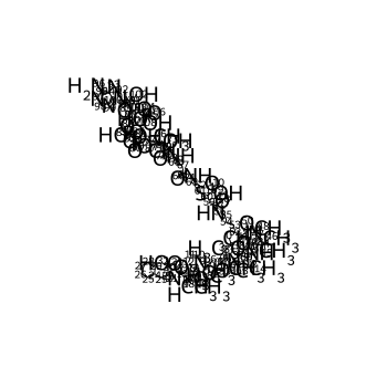 CC[C@H](C)[C@@H]([C@@H](CC(=O)N1CCC[C@H]1[C@H](OC)[C@@H](C)C(=O)N[C@@H](Cc1ccccc1)C(=O)O)OC)N(C)C(=O)[C@@H](NC(=O)[C@H](C(C)C)N(C)C(=O)CCCCCNC(=O)CC(SCCNC(=O)CCNC(=O)[C@H](O)C(C)(C)COP(=O)(O)OP(=O)(O)OC[C@@H]1O[C@H](n2cnc3c(N)ncnc32)[C@@H](O)[C@H]1OP(=O)(O)O)C(=O)O)C(C)C